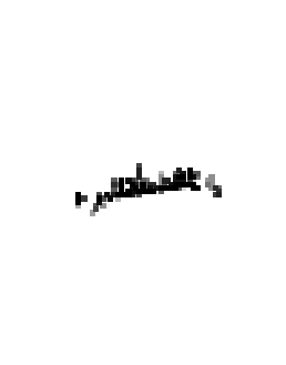 CCCCCCCCCC(CCCCCCCCCCCC(CCCC)NCC)[SiH](O)O